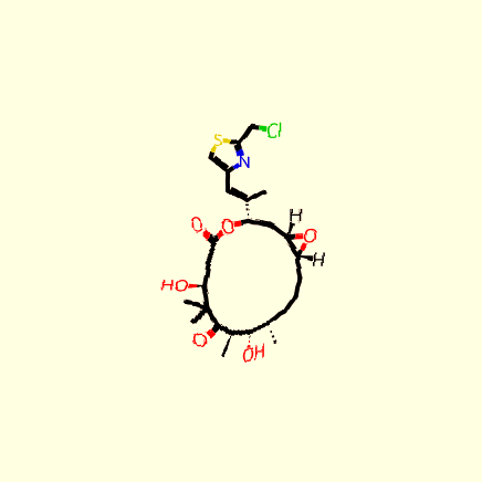 CC(=Cc1csc(CCl)n1)[C@@H]1C[C@@H]2O[C@@H]2CCC[C@H](C)[C@H](O)[C@@H](C)C(=O)C(C)(C)[C@@H](O)CC(=O)O1